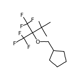 CC(C)(C)C(OCC1CCCC1)(C(F)(F)F)C(F)(F)F